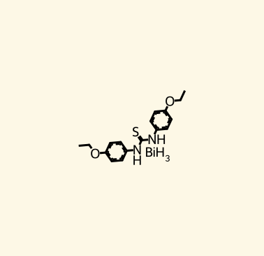 CCOc1ccc(NC(=S)Nc2ccc(OCC)cc2)cc1.[BiH3]